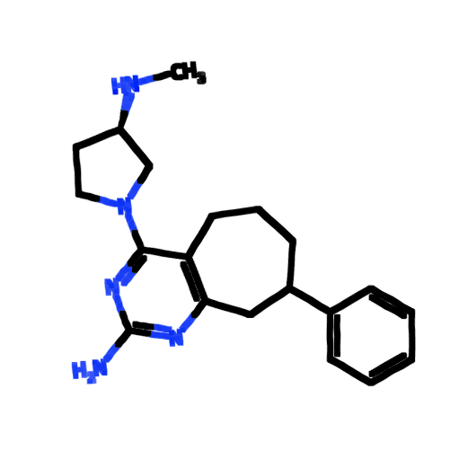 CN[C@@H]1CCN(c2nc(N)nc3c2CCCC(c2ccccc2)C3)C1